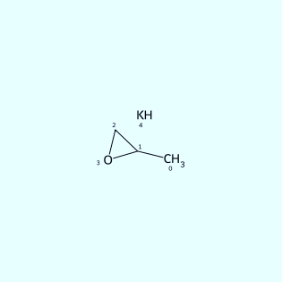 CC1CO1.[KH]